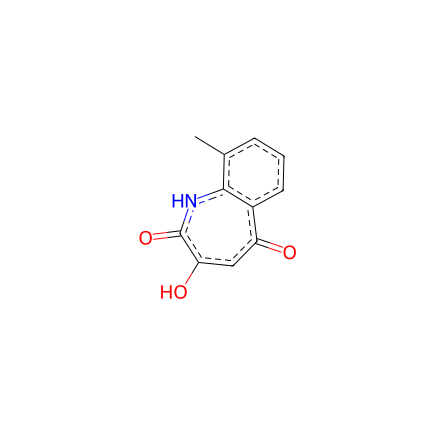 Cc1cccc2c(=O)cc(O)c(=O)[nH]c12